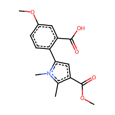 COC(=O)c1cc(-c2ccc(OC)cc2C(=O)O)n(C)c1C